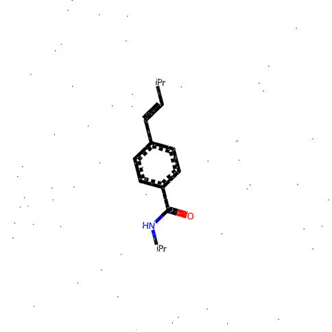 CC(C)/C=C/c1ccc(C(=O)NC(C)C)cc1